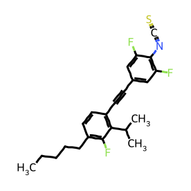 CCCCCc1ccc(C#Cc2cc(F)c(N=C=S)c(F)c2)c(C(C)C)c1F